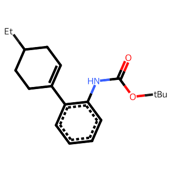 CCC1CC=C(c2ccccc2NC(=O)OC(C)(C)C)CC1